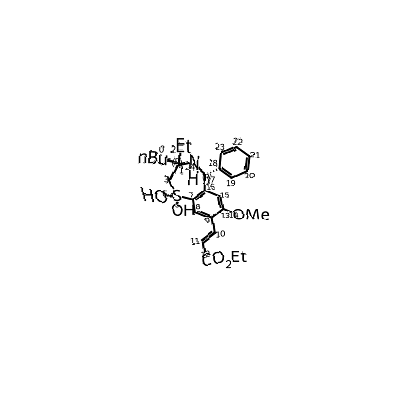 CCCC[C@]1(CC)CS(O)(O)c2cc(C=CC(=O)OCC)c(OC)cc2[C@@H](c2ccccc2)N1